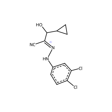 N#C/C(=N\Nc1ccc(Cl)c(Cl)c1)C(O)C1CC1